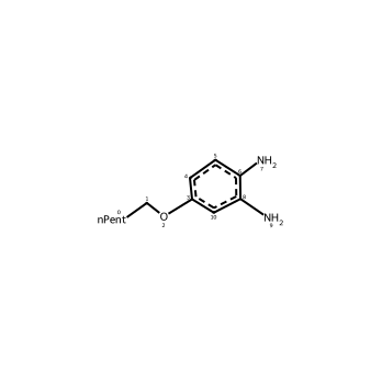 CCCCCCOc1ccc(N)c(N)c1